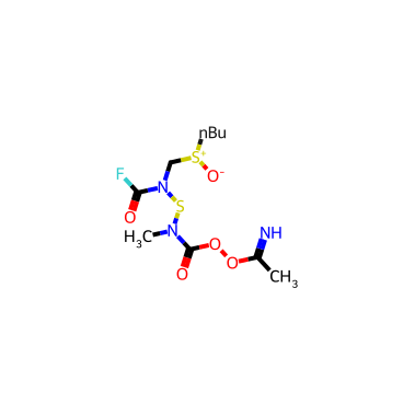 CCCC[S+]([O-])CN(SN(C)C(=O)OOC(C)=N)C(=O)F